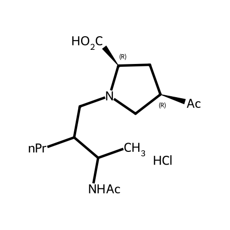 CCCC(CN1C[C@H](C(C)=O)C[C@@H]1C(=O)O)C(C)NC(C)=O.Cl